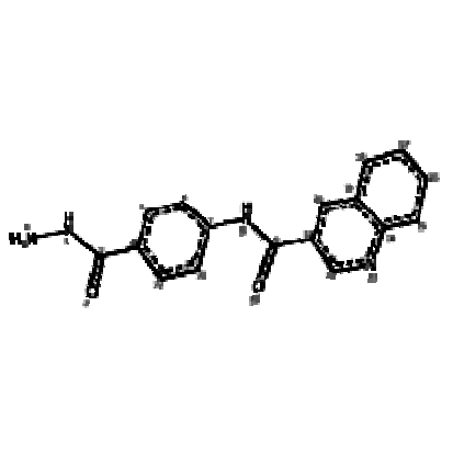 NNC(=O)c1ccc(NC(=O)c2cnc3ccccc3c2)cc1